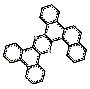 c1ccc2c(c1)ccc1c3ccccc3c3nc4c5ccccc5c5ccccc5c4nc3c21